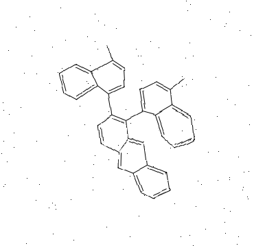 Cc1ccc(-c2ccc3cc4ccccc4cc3c2-c2ccc(C)c3ccccc23)c2ccccc12